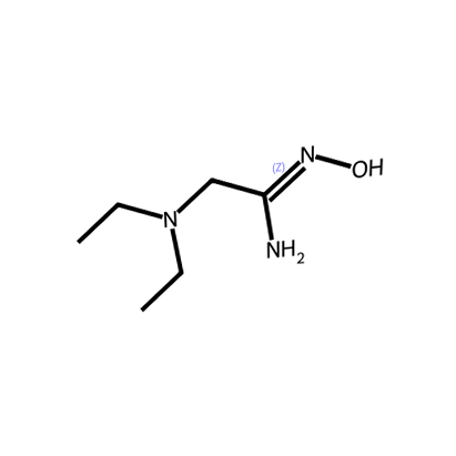 CCN(CC)C/C(N)=N/O